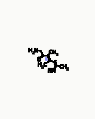 CC(=N)S/C(C)=C(\C)C(=O)CN